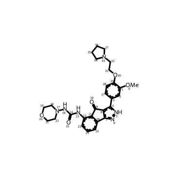 COc1cc(-c2[nH]nc3c2C(=O)c2c(NC(=O)NN4CCOCC4)cccc2-3)ccc1OCCN1CCCC1